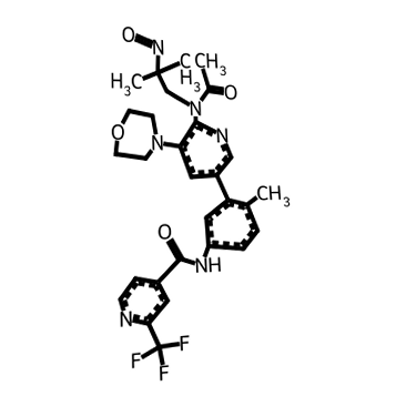 CC(=O)N(CC(C)(C)N=O)c1ncc(-c2cc(NC(=O)c3ccnc(C(F)(F)F)c3)ccc2C)cc1N1CCOCC1